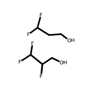 OCC(F)C(F)F.OCCC(F)F